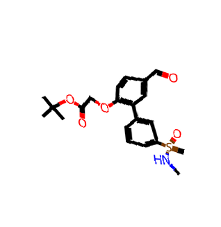 C=S(=O)(NC)c1cccc(-c2cc(C=O)ccc2OCC(=O)OC(C)(C)C)c1